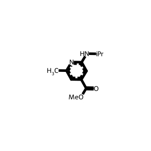 COC(=O)c1cc(C)nc(NC(C)C)c1